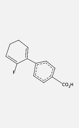 O=C(O)c1ccc(C2=CCCC=C2F)cc1